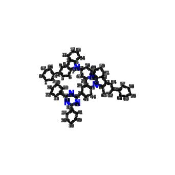 c1ccc(-c2ccc3c(c2)c2ccccc2n3-c2ccnc(-c3cc(-c4nc(-c5ccccc5)nc(-c5ccccc5)n4)ccc3-n3c4ccccc4c4cc(-c5ccccc5)ccc43)c2)cc1